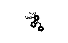 CSc1c(OC(C)=O)ccc2c1c1ccccc1n2Cc1ccccc1